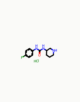 Cl.O=C(Nc1ccc(F)cc1)NC1CCCNC1